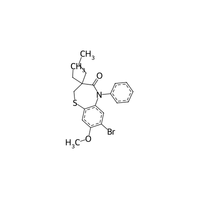 CCCC1(CC)CSc2cc(OC)c(Br)cc2N(c2ccccc2)C1=O